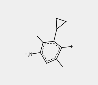 Cc1cc(N)c(C)c(C2CC2)c1F